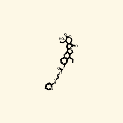 CCc1c2c(nc3ccc(OC(=O)OCCSSc4ccccn4)cc13)-c1cc3c(c(=O)n1C2)COC(=O)[C@]3(O)CC